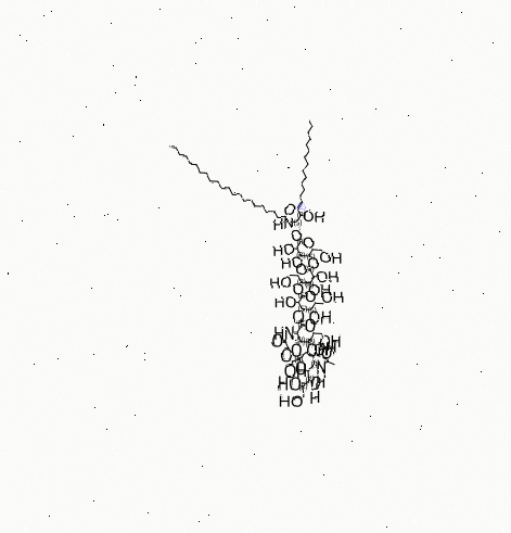 CCCCCCCCCCCCC/C=C/[C@@H](O)[C@H](CO[C@@H]1OC(CO)[C@@H](O[C@@H]2OC(CO)[C@H](O[C@@H]3OC(CO)[C@H](O)[C@H](O[C@@H]4OC(CO)[C@H](O)[C@H](O[C@]5(C(=O)O)CC(O)[C@@H](NC(C)=O)C([C@H](O)[C@H](O)CO)O5)C4NC(C)=O)C3O)[C@H](O)C2O)[C@H](O)C1O)NC(=O)CCCCCCCCCCCCCCCCCCCCC